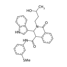 CSc1cccc(NC(=O)C2c3ccccc3C(=O)N(CCC(C)O)C2c2c[nH]c3ccccc23)c1